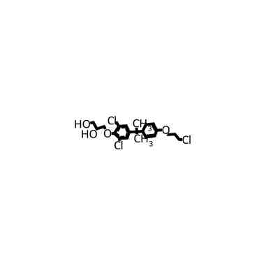 CC(C)(c1cc(Cl)c(OC[C@H](O)CO)c(Cl)c1)C1C=CC(OCCCCl)=CC1